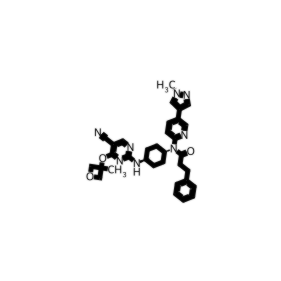 Cn1cc(-c2ccc(N(C(=O)CCc3ccccc3)[C@H]3CC[C@H](Nc4ncc(C#N)c(OC5(C)COC5)n4)CC3)nc2)cn1